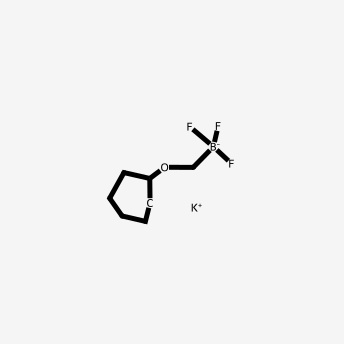 F[B-](F)(F)COC1CCCCC1.[K+]